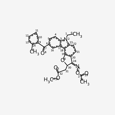 CCn1c2ccc(C(=O)c3ccccc3C)cc2c2c3c(ccc21)/C(=N/OC(C)=O)C(CC(=O)OC)O3